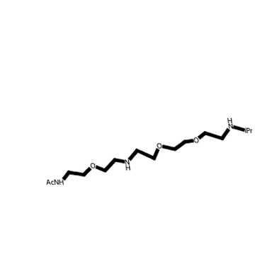 CC(=O)NCCOCCNCCOCCOCCNC(C)C